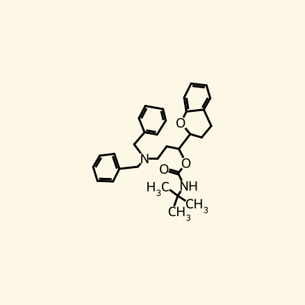 CC(C)(C)NC(=O)OC(CCN(Cc1ccccc1)Cc1ccccc1)C1CCc2ccccc2O1